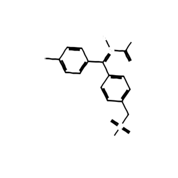 CCC(=O)[N+](N)=C(c1ccc(Cl)cc1)c1ccc(CS(=O)(=O)C(F)(F)F)cc1